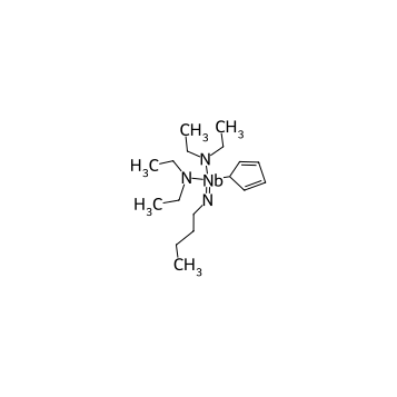 CCCC[N]=[Nb]([CH]1C=CC=C1)([N](CC)CC)[N](CC)CC